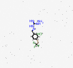 Cl.N=C(NN)NN=Cc1ccc(SC(F)(F)F)cc1